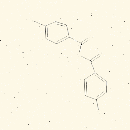 O=C(OC(=O)c1ccc([N+](=O)[O-])cc1)c1ccc([N+](=O)[O-])cc1